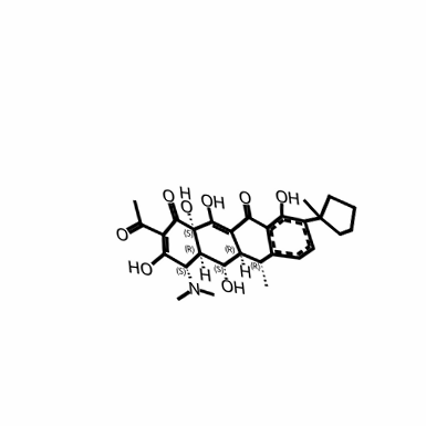 CC(=O)C1=C(O)[C@@H](N(C)C)[C@@H]2[C@@H](O)[C@H]3C(=C(O)[C@]2(O)C1=O)C(=O)c1c(ccc(C2(C)CCCC2)c1O)[C@@H]3C